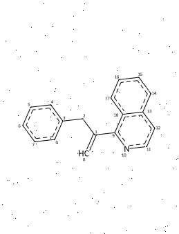 [CH]=C(Cc1ccccc1)c1nccc2ccccc12